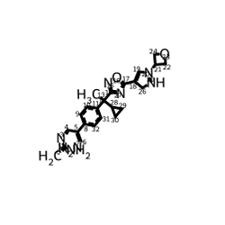 C=C(N)/N=C\C(=C/N)c1ccc(C(C)(c2noc(C3=CN(C4COC4)NC3)n2)C2CC2)cc1